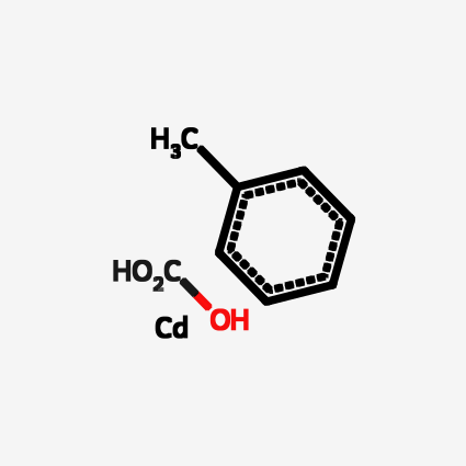 Cc1ccccc1.O=C(O)O.[Cd]